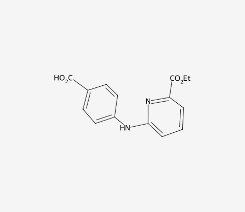 CCOC(=O)c1cccc(Nc2ccc(C(=O)O)cc2)n1